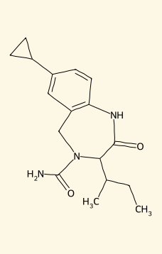 CCC(C)C1C(=O)Nc2ccc(C3CC3)cc2CN1C(N)=O